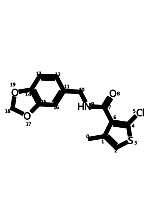 Cc1csc(Cl)c1C(=O)NCc1ccc2c(c1)OCO2